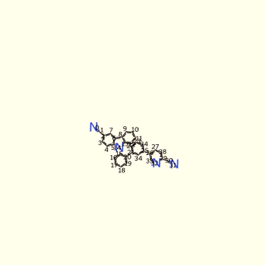 N#Cc1ccc2c(c1)c1ccccc1n2-c1ccccc1-c1cccc(-c2ccc(C#N)nc2)c1